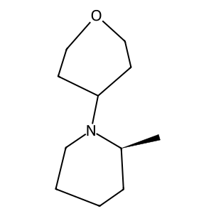 C[C@H]1CCCCN1C1CCOCC1